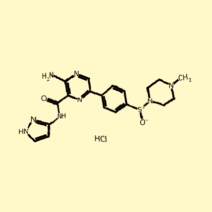 CN1CCN([S+]([O-])c2ccc(-c3cnc(N)c(C(=O)Nc4cc[nH]n4)n3)cc2)CC1.Cl